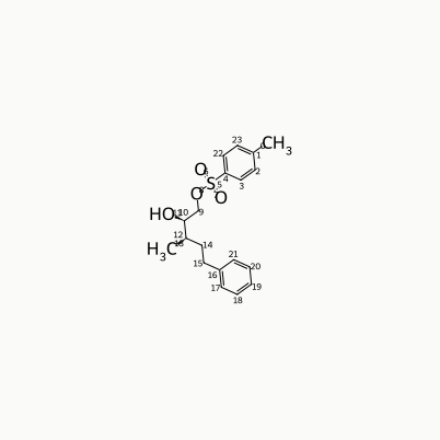 Cc1ccc(S(=O)(=O)OC[C@H](O)[C@H](C)CCc2ccccc2)cc1